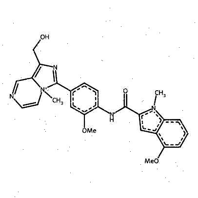 COc1cc(C2=NC(CO)=C3C=NC=C[N+]23C)ccc1NC(=O)c1cc2c(OC)cccc2n1C